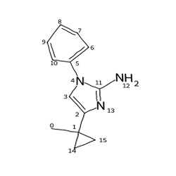 CC1(c2cn(-c3ccccc3)c(N)n2)CC1